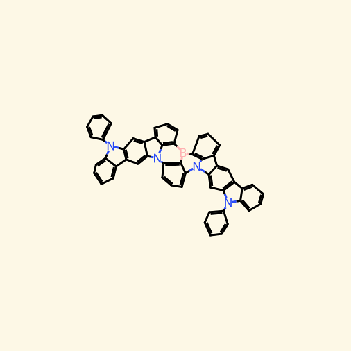 c1ccc(-n2c3ccccc3c3cc4c(cc32)c2cccc3c2n4-c2cccc4c2B3c2cccc3c5cc6c7ccccc7n(-c7ccccc7)c6cc5n-4c23)cc1